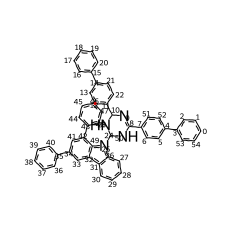 c1ccc(-c2ccc(C3=NC(c4ccc(-c5ccccc5)cc4)NC(n4c5ccccc5c5cc(-c6ccccc6)cc(-c6ccccc6)c54)N3)cc2)cc1